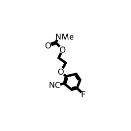 CNC(=O)OCCOc1ccc(F)cc1C#N